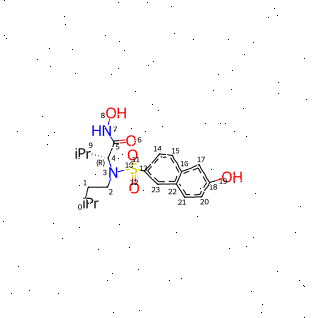 CC(C)CCN([C@@H](C(=O)NO)C(C)C)S(=O)(=O)c1ccc2cc(O)ccc2c1